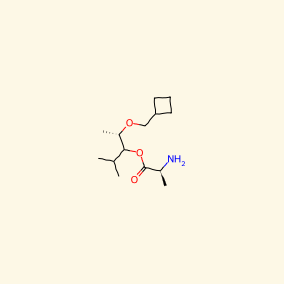 CC(C)C(OC(=O)[C@H](C)N)[C@H](C)OCC1CCC1